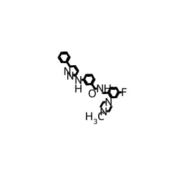 CN1CCN(c2cc(F)ccc2CNC(=O)c2cccc(Nc3ccc(-c4ccccc4)nn3)c2)CC1